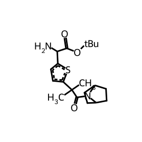 CC(C)(C)OC(=O)C(N)c1ccc(C(C)(C)C(=O)N2C3CCC2CC3)s1